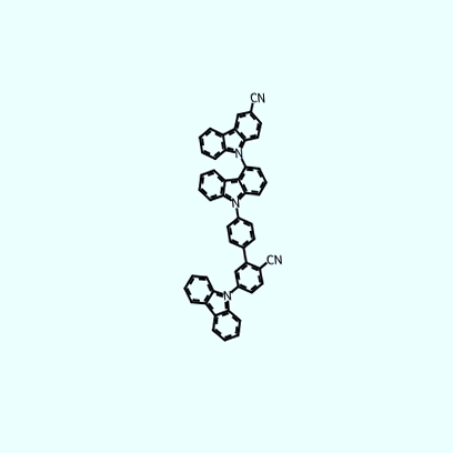 N#Cc1ccc2c(c1)c1ccccc1n2-c1cccc2c1c1ccccc1n2-c1ccc(-c2cc(-n3c4ccccc4c4ccccc43)ccc2C#N)cc1